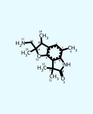 Cc1cc2c(c3c1NC(=O)C3(C)C)OC(C)(CN)C2C